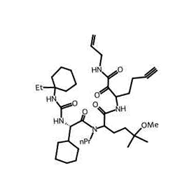 C#CCCC(NC(=O)C(CCC(C)(C)OC)N(CCC)C(=O)[C@@H](NC(=O)NC1(CC)CCCCC1)C1CCCCC1)C(=O)C(=O)NCC=C